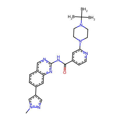 BC(B)(B)N1CCN(c2cc(C(=O)Nc3ncc4ccc(-c5cnn(C)c5)cc4n3)ccn2)CC1